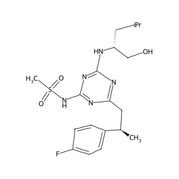 CC(C)C[C@H](CO)Nc1nc(C[C@@H](C)c2ccc(F)cc2)nc(NS(C)(=O)=O)n1